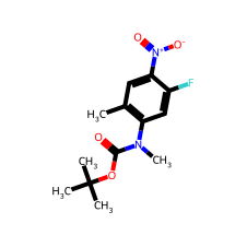 Cc1cc([N+](=O)[O-])c(F)cc1N(C)C(=O)OC(C)(C)C